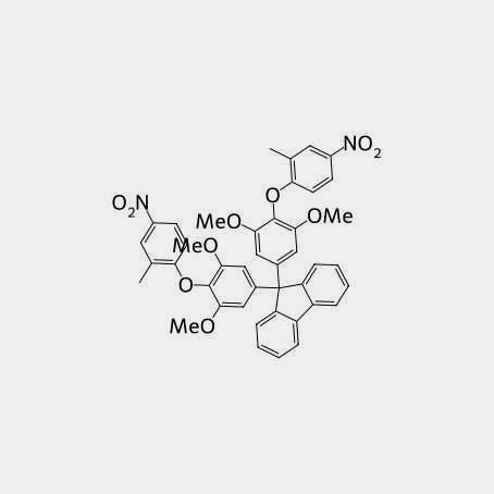 COc1cc(C2(c3cc(OC)c(Oc4ccc([N+](=O)[O-])cc4C)c(OC)c3)c3ccccc3-c3ccccc32)cc(OC)c1Oc1ccc([N+](=O)[O-])cc1C